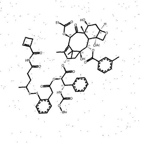 CCC(=O)O[C@H]1C(=O)[C@@]2(C)C([C@H](OC(=O)c3cccc(C)c3)[C@]3(O)C[C@H](OC(=O)[C@H](OC(=O)Cc4ccccc4SSC(C)CCC(=O)NC(=O)C4=CCC4)[C@@H](NC(=O)OC(C)(C)C)c4ccccc4)C(C)=C1C3(C)C)[C@]1(OC(C)=O)CO[C@@H]1C[C@@H]2O